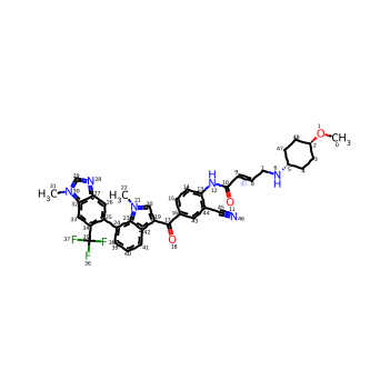 CO[C@H]1CC[C@H](NC/C=C/C(=O)Nc2ccc(C(=O)c3cn(C)c4c(-c5cc6ncn(C)c6cc5C(F)(F)F)cccc34)cc2C#N)CC1